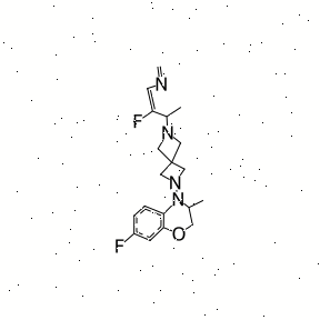 C=N/C=C(/F)C(C)N1CC2(C1)CN(N1c3ccc(F)cc3OCC1C)C2